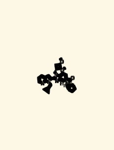 COc1cc(C(=O)N2CC3CCC2C3N)cc2nc(-c3cc4cccnc4n3CC3CC3)n(C[C@H]3C[C@H](OC)C3)c12